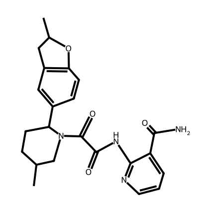 CC1CCC(c2ccc3c(c2)CC(C)O3)N(C(=O)C(=O)Nc2ncccc2C(N)=O)C1